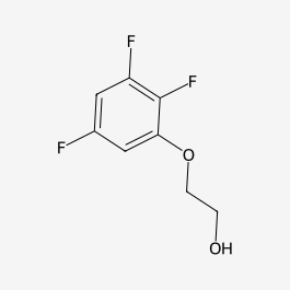 OCCOc1cc(F)cc(F)c1F